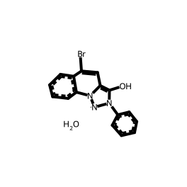 O.OC1=C2C=C(Br)c3ccccc3N2[N]N1c1ccccc1